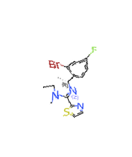 CCN(C)/C(=N\[C@H](C)c1ccc(F)cc1Br)c1nccs1